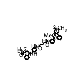 CCC(=O)N1c2ccccc2[C@H](Nc2ccc(NC(=O)CCCC(=O)Nc3cccc(Oc4ccccc4-c4cn(C)c(=O)cc4OC)c3)cc2)C[C@@H]1C